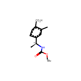 Cc1cc([C@H](C)NC(=O)OC(C)(C)C)ccc1C(=O)O